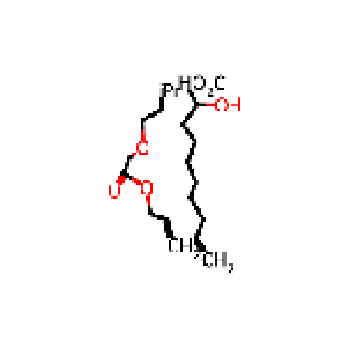 C=CCCCCCCC(O)C(=O)O.C=CCOC(=O)COCCC(C)C